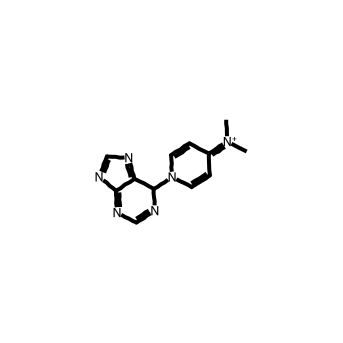 C[N+](C)=c1ccn(C2N=CN=C3N=CN=C32)cc1